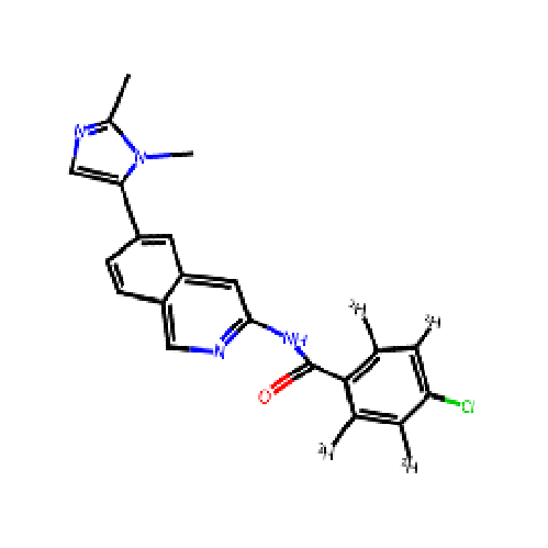 [2H]c1c([2H])c(C(=O)Nc2cc3cc(-c4cnc(C)n4C)ccc3cn2)c([2H])c([2H])c1Cl